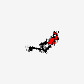 CC[C@]1(O)CC2CCN(CCc3c([nH]c4ccccc34)[C@@](C(=O)OC)(c3cc4c(cc3OC)N(C)[C@H]3[C@@](O)(C(=O)NNCC(=O)OCCSSC[C@@H](NC(=O)[C@H](CNC(=O)CCCCCCCCO[C@@H]5C[C@@H](O)CC(O)(C(=O)O)O5)NC(=O)CC[C@H](NC(=O)c5ccc(NCc6cnc7nc(N)[nH]c(=O)c7n6)cc5)C(=O)O)C(=O)O)[C@H](O)[C@]5(CC)C=CCN6CC[C@]43[C@@H]65)CC2)C1